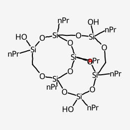 CCC[Si]1(O)CO[Si]2(CCC)O[Si](O)(CCC)O[Si]3(CCC)CO[Si](O)(CCC)O[Si](CCC)(O1)O[Si](CCC)(O3)O2